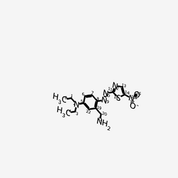 CCN(CC)c1ccc(N=Nc2ncc([N+](=O)[O-])s2)c(CN)c1